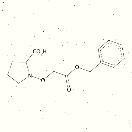 O=C(CON1CCCC1C(=O)O)OCc1ccccc1